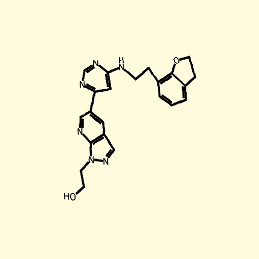 OCCn1ncc2cc(-c3cc(NCCc4cccc5c4OCC5)ncn3)cnc21